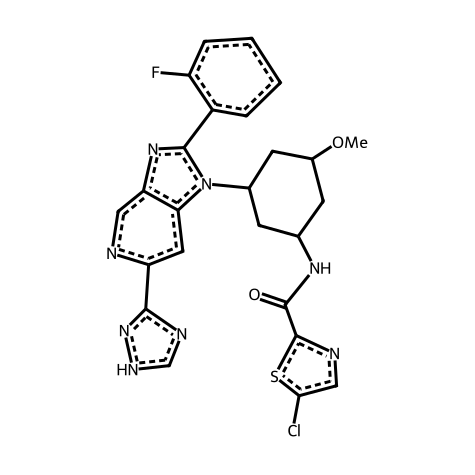 COC1CC(NC(=O)c2ncc(Cl)s2)CC(n2c(-c3ccccc3F)nc3cnc(-c4nc[nH]n4)cc32)C1